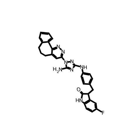 Nc1nc(Nc2ccc(CC3C(=O)Nc4ccc(F)cc43)cc2)nn1-c1cc2c(nn1)-c1ccccc1CCC2